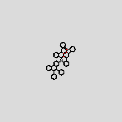 c1ccc(-c2c(-c3ccccc3)c3cc(N(c4ccccc4-c4ccc5c(c4)c4ccccc4n5-c4ccccc4)c4cc5ccccc5c5ccccc45)ccc3c3ccccc23)cc1